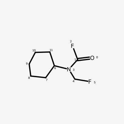 O=C(F)N(CF)C1CCCCC1